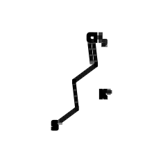 C=CCC[S-].[K+]